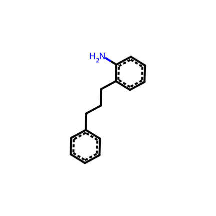 Nc1ccccc1CCCc1ccccc1